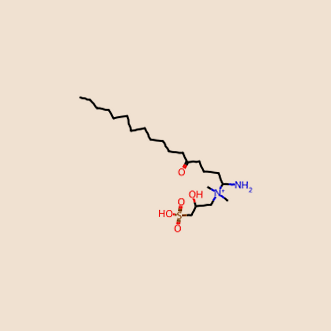 CCCCCCCCCCCCC(=O)CCCC(N)[N+](C)(C)CC(O)CS(=O)(=O)O